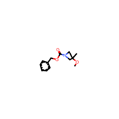 COC1(C)CN(C(=O)OCc2ccccc2)C1